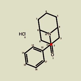 Cl.O=C1CC2CCCC(C1)N2Cc1ccccc1